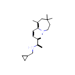 C=C(/C=C\C1=C(C)CC(C)(C)CCN1C)C(=C)NCC1CC1